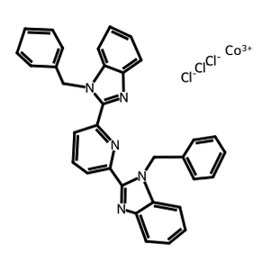 [Cl-].[Cl-].[Cl-].[Co+3].c1ccc(Cn2c(-c3cccc(-c4nc5ccccc5n4Cc4ccccc4)n3)nc3ccccc32)cc1